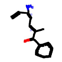 C#C/C(N)=C\C=C(/C)C(=O)c1ccccc1